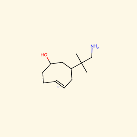 CC(C)(CN)C1C/C=C/CCC(O)C1